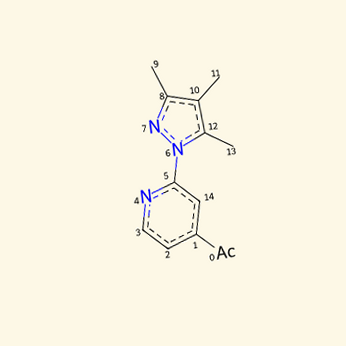 CC(=O)c1ccnc(-n2nc(C)c(C)c2C)c1